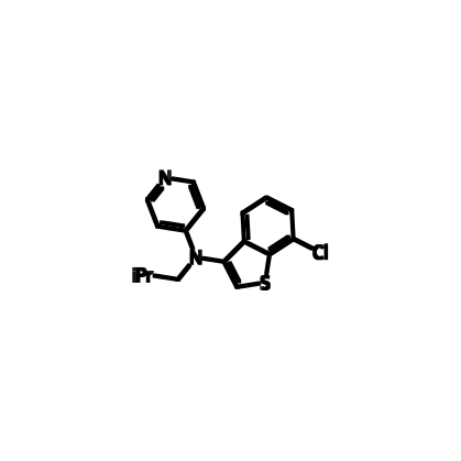 CC(C)CN(c1ccncc1)c1csc2c(Cl)cccc12